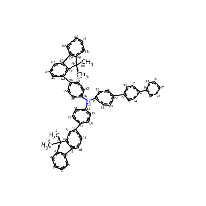 CC1(C)c2ccccc2-c2ccc(-c3ccc(N(c4ccc(-c5ccc(-c6ccccc6)cc5)cc4)c4ccc(-c5cccc6c5C(C)(C)c5ccccc5-6)cc4)cc3)cc21